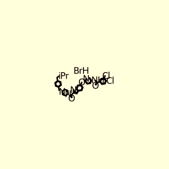 Br.CC(C)Cc1ccc(CN2CCN(C(=O)c3cc4ccc(Oc5ccc(NC(=O)c6ccc(Cl)c(Cl)c6)cn5)cc4n3C)CC2)cc1